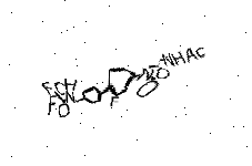 CC(=O)NC[C@H]1CN(c2ccc(-c3ccc(CNC(=O)C(F)(F)Cl)cc3)c(F)c2)C(=O)O1